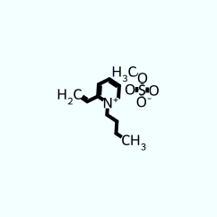 C=Cc1cccc[n+]1CCCC.COS(=O)(=O)[O-]